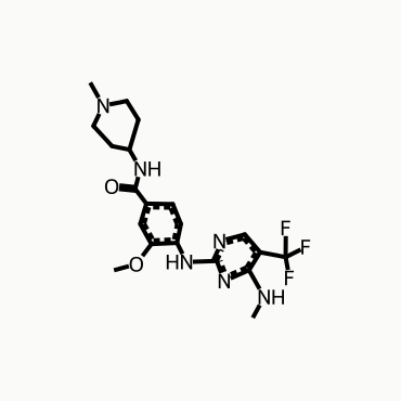 CNc1nc(Nc2ccc(C(=O)NC3CCN(C)CC3)cc2OC)ncc1C(F)(F)F